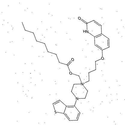 CCCCCCCCC(=O)OC[N+]1(CCCCOc2ccc3ccc(=O)[nH]c3c2)CCN(c2cccc3sccc23)CC1